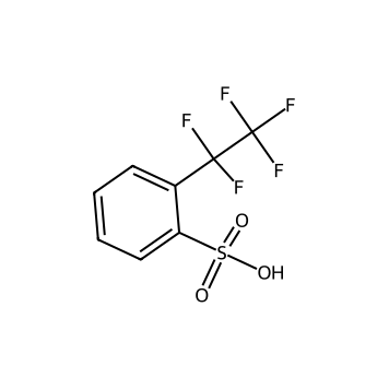 O=S(=O)(O)c1ccccc1C(F)(F)C(F)(F)F